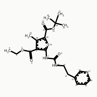 CCOC(=O)c1c(NC(=O)NCCc2cccnc2)sc(C(=O)OC(C)(C)C)c1C